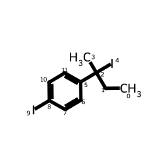 CCC(C)(I)c1ccc(I)cc1